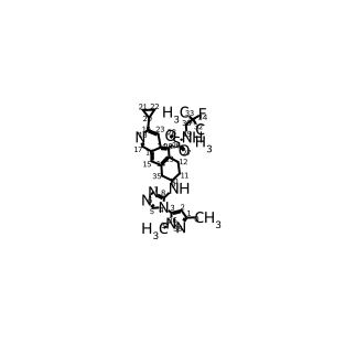 Cc1cc(-n2cnnc2NC2CCc3c(cc4cnc(C5CC5)cc4c3S(=O)(=O)NCC(C)(C)F)C2)n(C)n1